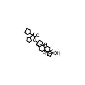 CC(C(=O)O[C@@H]1C=C2CC[C@H]3[C@@H]4CC[C@H](O)[C@@]4(C)CC[C@@H]3[C@@]2(C)CC1)(C1CCCC1)C1CCCC1